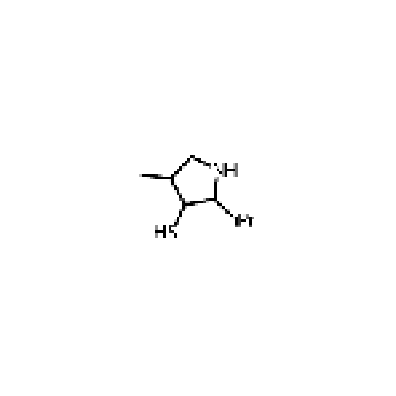 CC(C)C1NCC(C)C1S